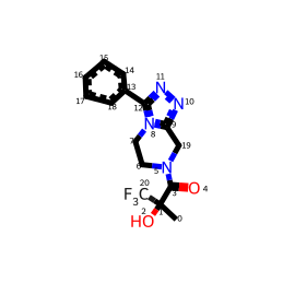 CC(O)(C(=O)N1CCn2c(nnc2-c2ccccc2)C1)C(F)(F)F